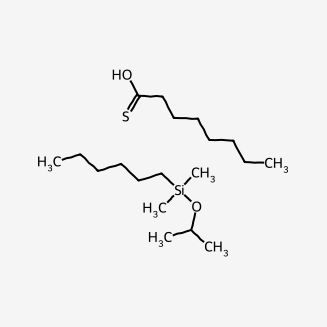 CCCCCCCC(O)=S.CCCCCC[Si](C)(C)OC(C)C